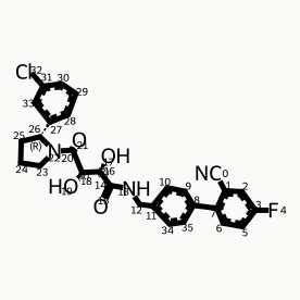 N#Cc1cc(F)ccc1-c1ccc(CNC(=O)[C@H](O)[C@@H](O)C(=O)N2CCC[C@@H]2c2cccc(Cl)c2)cc1